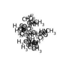 CNC(=O)Nc1ccc(CNC(=O)[C@@H](NC(=O)[C@H](C)NC[C@H](Cc2ccccc2)NC(=O)c2cc(C(=O)N[C@H](C)c3cccc(Cl)c3)cc(N(C)S(C)(=O)=O)c2)C(C)C)cc1